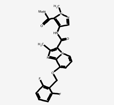 CNC(=O)c1c(NC(=O)c2c(C)nc3c(OCc4c(F)cccc4F)cccn23)cnn1C